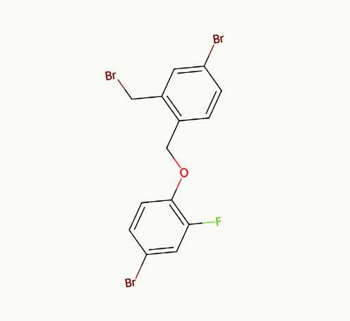 Fc1cc(Br)ccc1OCc1ccc(Br)cc1CBr